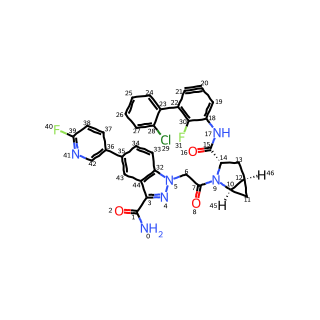 NC(=O)c1nn(CC(=O)N2[C@@H]3C[C@@H]3C[C@H]2C(=O)Nc2cc#cc(-c3ccccc3Cl)c2F)c2ccc(-c3ccc(F)nc3)cc12